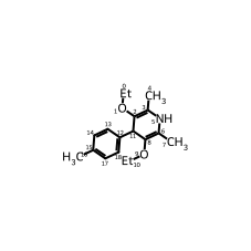 CCOC1=C(C)NC(C)=C(OCC)C1c1ccc(C)cc1